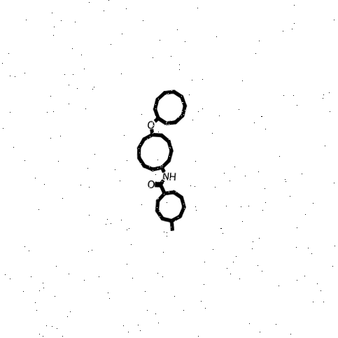 CC1CCCCC(C(=O)NC2CCCCCC(OC3CCCCCCCCC3)CCCC2)CCC1